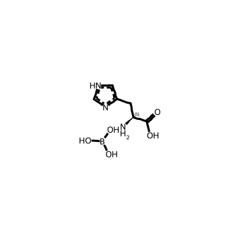 N[C@@H](Cc1c[nH]cn1)C(=O)O.OB(O)O